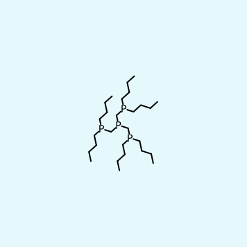 CCCCP(CCCC)CP(CP(CCCC)CCCC)CP(CCCC)CCCC